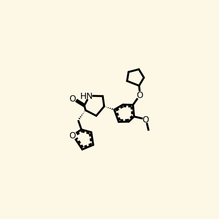 COc1ccc([C@H]2CNC(=O)[C@@H](Cc3ccco3)C2)cc1OC1CCCC1